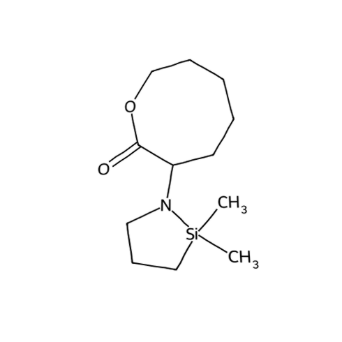 C[Si]1(C)CCCN1C1CCCCCOC1=O